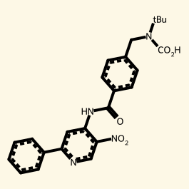 CC(C)(C)N(Cc1ccc(C(=O)Nc2cc(-c3ccccc3)ncc2[N+](=O)[O-])cc1)C(=O)O